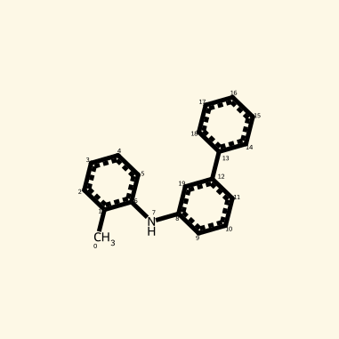 Cc1ccccc1Nc1cccc(-c2ccccc2)c1